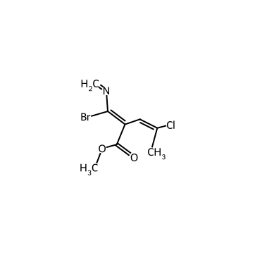 C=N/C(Br)=C(\C=C(/C)Cl)C(=O)OC